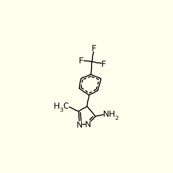 CC1=NN=C(N)C1c1ccc(C(F)(F)F)cc1